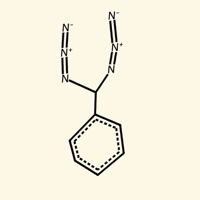 [N-]=[N+]=NC(N=[N+]=[N-])c1ccccc1